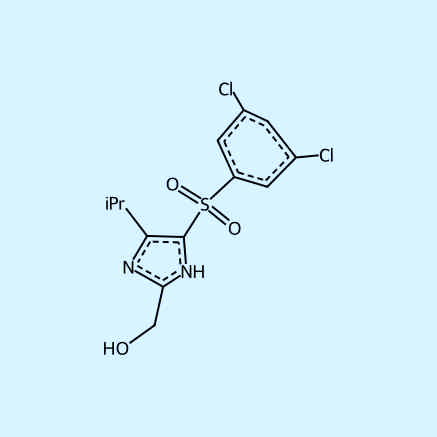 CC(C)c1nc(CO)[nH]c1S(=O)(=O)c1cc(Cl)cc(Cl)c1